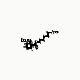 CCCCCCCCCCCCCCCCOC(=O)c1ccccc1C(=O)OCC